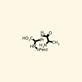 CC(N)C(N)=O.CCCCCNC(C(=O)O)C(C)C